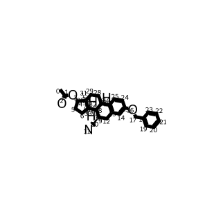 CC(=O)O[C@@H]1CC[C@H]2[C@@H]3[C@H](C#N)Cc4cc(OCc5ccccc5)ccc4[C@H]3CC[C@]12C